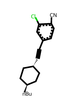 CCCC[C@H]1CC[C@H](C#Cc2ccc(C#N)c(Cl)c2)CC1